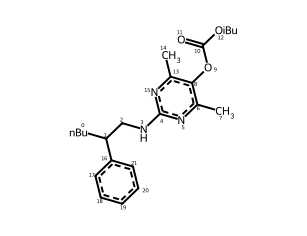 CCCCC(CNc1nc(C)c(OC(=O)OCC(C)C)c(C)n1)c1ccccc1